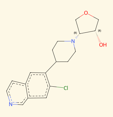 O[C@H]1COC[C@H]1N1CCC(c2cc3ccncc3cc2Cl)CC1